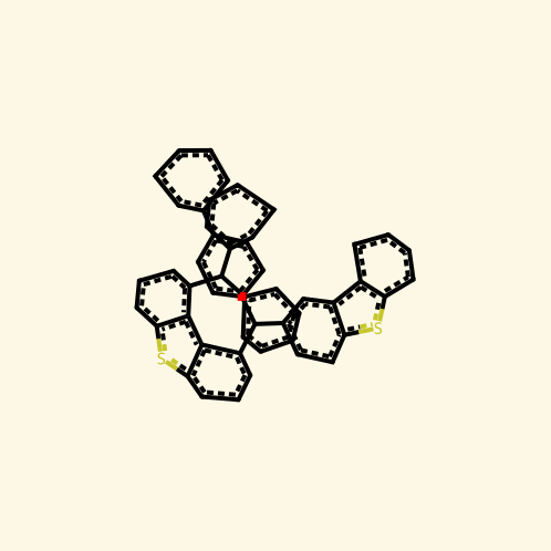 c1ccc(-c2ccc(C(c3ccc4sc5ccccc5c4c3)c3cccc4sc5cccc(C(c6ccccc6)c6ccccc6)c5c34)cc2)cc1